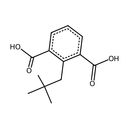 CC(C)(C)Cc1c(C(=O)O)cccc1C(=O)O